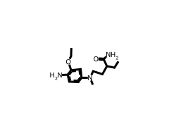 CCOc1cc(N(C)CCC(CC)C(N)=O)ccc1N